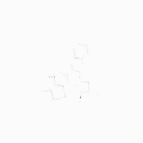 CO[C@H]1CN(c2nc3ccccc3cc2-c2cc(=O)c3c(C(C)=O)nccc3[nH]2)C[C@@H]1C(F)(F)F